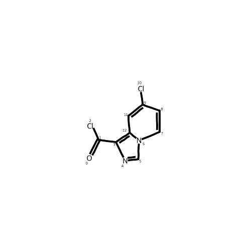 O=C(Cl)c1ncn2ccc(Cl)cc12